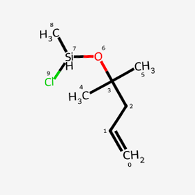 C=CCC(C)(C)O[SiH](C)Cl